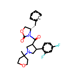 CC1(N2CC(C(=O)N3C(=O)OC[C@@H]3Cc3ccccc3)C(c3ccc(F)cc3F)C2)CCOCC1